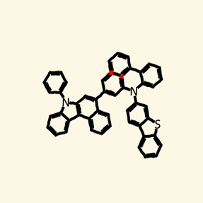 c1ccc(-c2ccccc2N(c2cccc(-c3cc4c(c5ccccc35)c3ccccc3n4-c3ccccc3)c2)c2ccc3c(c2)sc2ccccc23)cc1